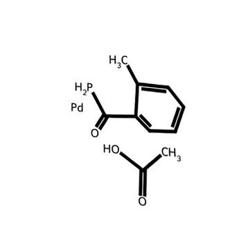 CC(=O)O.Cc1ccccc1C(=O)P.[Pd]